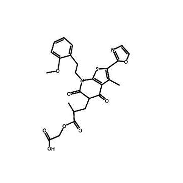 COc1ccccc1CCN1C(=O)C(CC(C)C(=O)OCC(=O)O)C(=O)c2c1sc(-c1ncco1)c2C